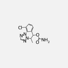 CC(C(OC(N)=O)c1cccc(Cl)c1)n1ncnn1